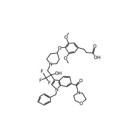 COc1cc(CCC(=O)O)cc(OC)c1OC1CCN(CC(O)(c2cn(Cc3ccccc3)c3cc(C(=O)N4CCOCC4)ccc23)C(F)(F)F)CC1